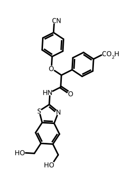 N#Cc1ccc(OC(C(=O)Nc2nc3cc(CO)c(CO)cc3s2)c2ccc(C(=O)O)cc2)cc1